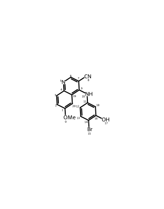 COc1ccc2ncc(C#N)c(Nc3ccc(Br)c(O)c3)c2c1